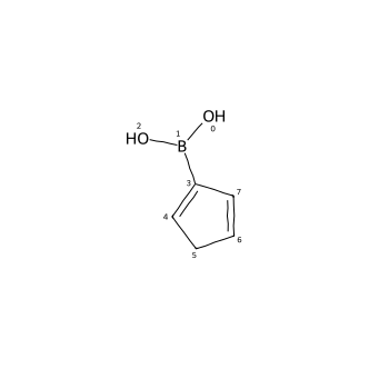 OB(O)C1=CCC=C1